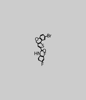 O=C(Nc1ccc(F)cc1F)c1cc2c(s1)-c1cc(Br)ccc1OC2